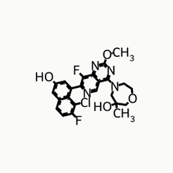 COc1nc(N2CCOCC(C)(O)C2)c2cnc(-c3cc(O)cc4ccc(F)c(Cl)c34)c(F)c2n1